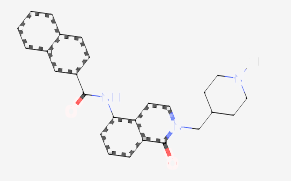 CN1CCC(Cn2ccc3c(NC(=O)c4ccc5ccccc5c4)cccc3c2=O)CC1